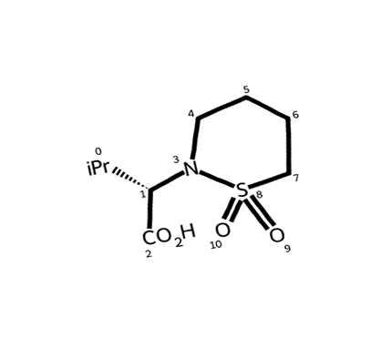 CC(C)[C@@H](C(=O)O)N1CCCCS1(=O)=O